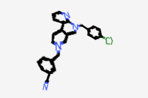 N#Cc1cccc(CN2CC=C3C(=CN(Cc4ccc(Cl)cc4)c4ncccc43)C2)c1